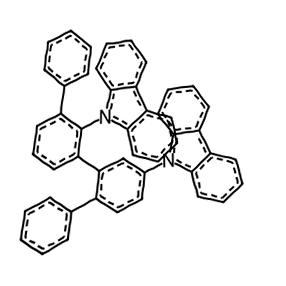 c1ccc(-c2ccc(-n3c4ccccc4c4ccccc43)cc2-c2cccc(-c3ccccc3)c2-n2c3ccccc3c3ccccc32)cc1